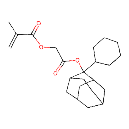 C=C(C)C(=O)OCC(=O)OC1(C2CCCCC2)C2CC3CC(C2)CC1C3